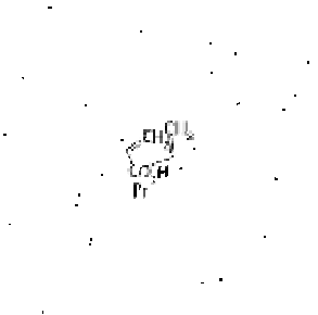 C=CC(=O)O.C=CCC(C)C